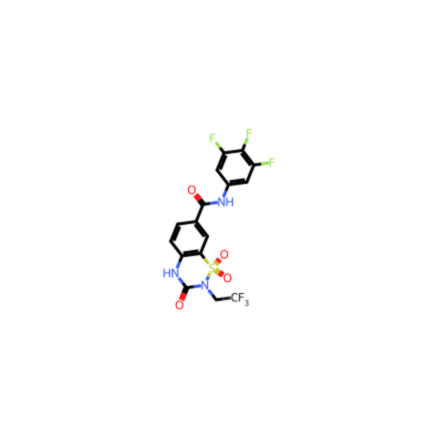 O=C(Nc1cc(F)c(F)c(F)c1)c1ccc2c(c1)S(=O)(=O)N(CC(F)(F)F)C(=O)N2